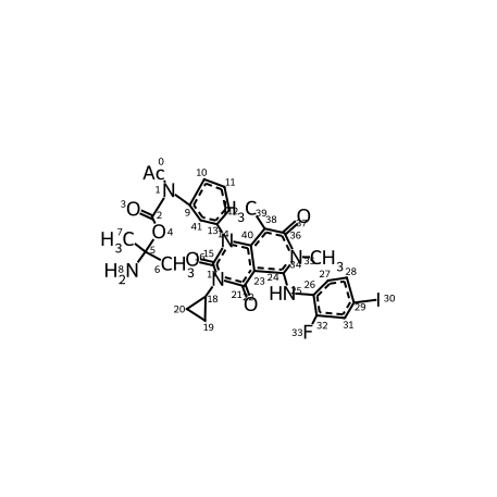 CC(=O)N(C(=O)OC(C)(C)N)c1cccc(-n2c(=O)n(C3CC3)c(=O)c3c(Nc4ccc(I)cc4F)n(C)c(=O)c(C)c32)c1